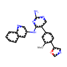 COc1cc(-c2cnc(N)nc2Nc2cnc3ccccc3c2)ccc1-c1cnco1